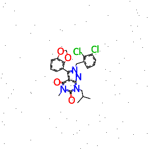 CC(C)Cn1c(=O)n(C)c(=O)c2c(-c3cccc4c3OCO4)n(Cc3cccc(Cl)c3Cl)nc21